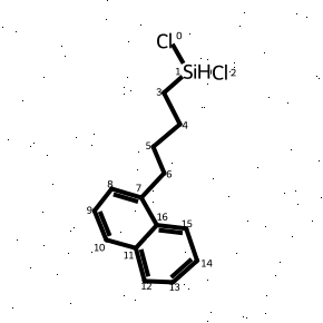 Cl[SiH](Cl)CCCCc1cccc2ccccc12